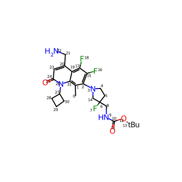 Cc1c(N2CCC(F)(CNC(=O)OC(C)(C)C)C2)c(F)c(F)c2c(CN)cc(=O)n(C3CCC3)c12